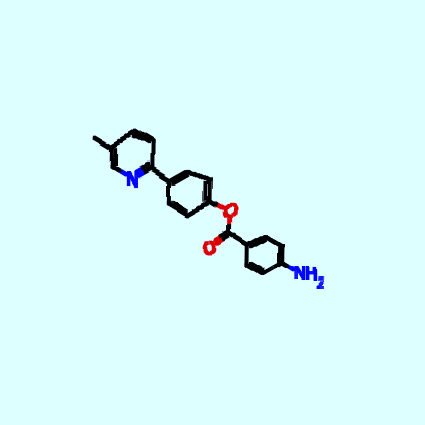 Cc1ccc(-c2ccc(OC(=O)c3ccc(N)cc3)cc2)nc1